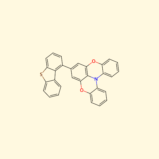 c1ccc2c(c1)Oc1cc(-c3cccc4sc5ccccc5c34)cc3c1N2c1ccccc1O3